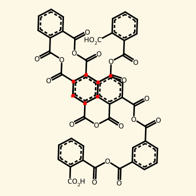 O=C(OC(=O)c1ccccc1C(=O)O)c1cccc(C(=O)OC(=O)c2ccccc2C(=O)OC(=O)c2ccc(C(=O)OC(=O)c3ccccc3C(=O)OC(=O)c3cccc(C(=O)OC(=O)c4ccccc4C(=O)O)c3)cc2)c1